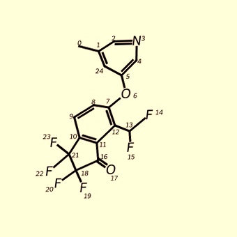 Cc1cncc(Oc2ccc3c(c2C(F)F)C(=O)C(F)(F)C3(F)F)c1